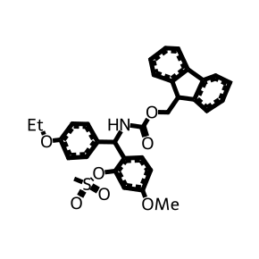 CCOc1ccc(C(NC(=O)OCC2c3ccccc3-c3ccccc32)c2ccc(OC)cc2OS(C)(=O)=O)cc1